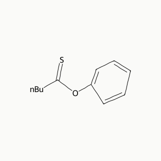 CCCCC(=S)Oc1ccccc1